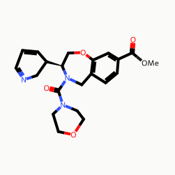 COC(=O)c1ccc2c(c1)OC[C@H](C1C=CC=NC1)N(C(=O)N1CCOCC1)C2